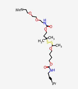 CNCCOCCOCCNC(=O)OCCC(C)(C)SSC(C)OCCCCOC(=O)NCC#CC(C)C